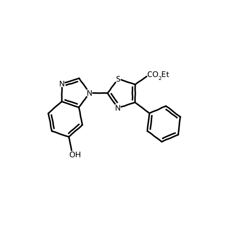 CCOC(=O)c1sc(-n2cnc3ccc(O)cc32)nc1-c1ccccc1